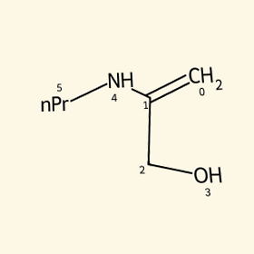 C=C(CO)NCCC